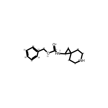 O=C(NC1CC12CCNCC2)OCc1ccccc1